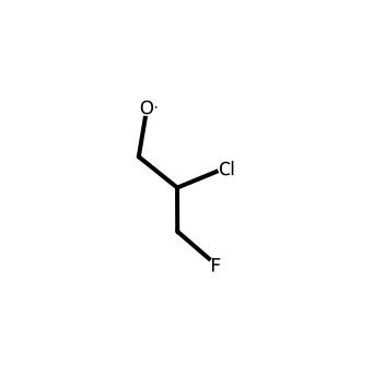 [O]CC(Cl)CF